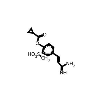 CS(=O)(=O)O.N=C(N)C=Cc1ccc(OC(=O)C2CC2)cc1